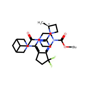 C[C@H]1CCN1c1nc(N2CC3CC(C2)C3CC(=O)N2CCN(C(=O)OC(C)(C)C)CC2)c2c(n1)C(F)(F)CC2